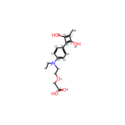 CCN(CCOCC(=O)O)c1ccc(C2=C(O)C(C)=C2O)cc1